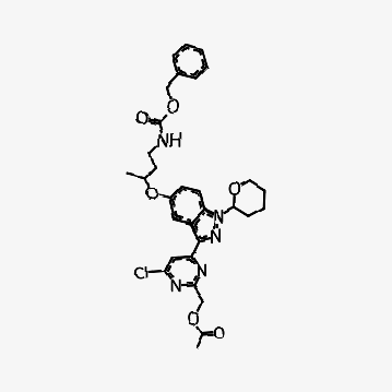 CC(=O)OCc1nc(Cl)cc(-c2nn(C3CCCCO3)c3ccc(OC(C)CCNC(=O)OCc4ccccc4)cc23)n1